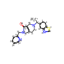 CC(c1ccc2scnc2c1)N1CCC2=C(C1)C(=O)N(Cc1ccccn1)C2